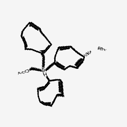 CC(=O)O[PH](c1ccccc1)(c1ccccc1)c1ccccc1.[NaH].[Rh]